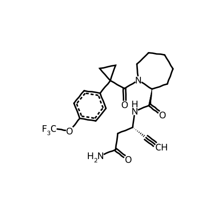 C#C[C@H](CC(N)=O)NC(=O)[C@@H]1CCCCCN1C(=O)C1(c2ccc(OC(F)(F)F)cc2)CC1